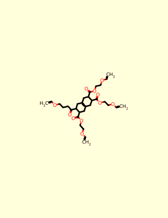 C=COCCCC(=O)C1CC2=C(CC1C(=O)OCCOC=C)CC(C(=O)OCCOC=C)C(C(=O)OCCOC=C)C2